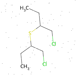 CCC(CCl)SC(CC)CCl